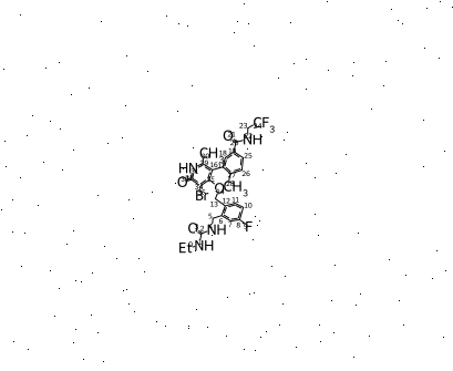 CCNC(=O)NCc1cc(F)ccc1COc1c(-c2cc(C(=O)NCC(F)(F)F)ccc2C)c(C)[nH]c(=O)c1Br